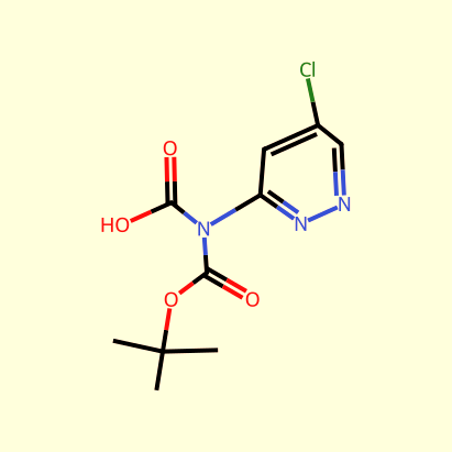 CC(C)(C)OC(=O)N(C(=O)O)c1cc(Cl)cnn1